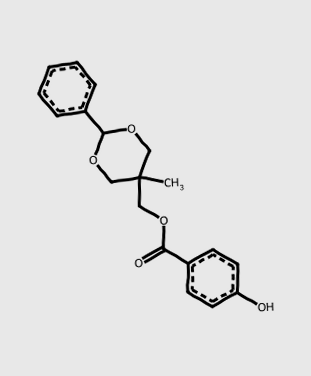 CC1(COC(=O)c2ccc(O)cc2)COC(c2ccccc2)OC1